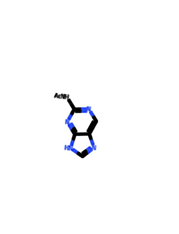 CC(=O)Nc1ncc2nc[nH]c2n1